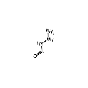 NNN[C]=O